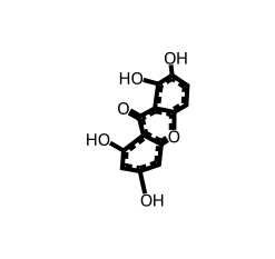 O=c1c2c(O)cc(O)cc2oc2ccc(O)c(O)c12